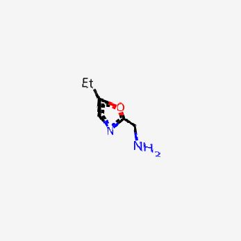 CCc1cnc(CN)o1